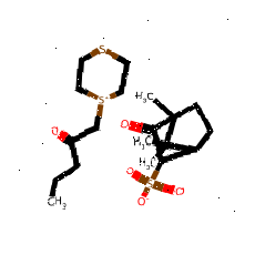 CC12CCC(C(S(=O)(=O)[O-])C1=O)C2(C)C.CCCC(=O)C[S+]1CCSCC1